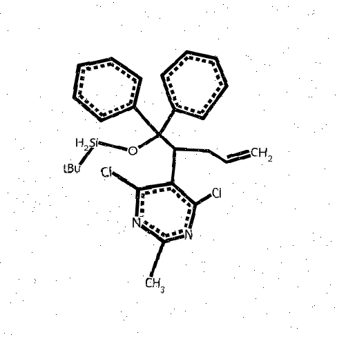 C=CCC(c1c(Cl)nc(C)nc1Cl)C(O[SiH2]C(C)(C)C)(c1ccccc1)c1ccccc1